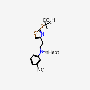 [C-]#[N+]c1cccc(N(CCCCCCC)CCc2csc(SC(C)(C)C(=O)O)n2)c1